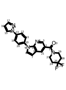 O=C(c1cnc2c(ccn2-c2ccc(-n3cccn3)cc2)c1)N1CCC(F)(F)CC1